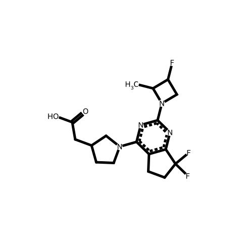 CC1C(F)CN1c1nc(N2CCC(CC(=O)O)C2)c2c(n1)C(F)(F)CC2